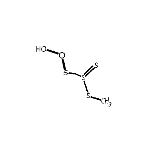 CSS(=S)SOO